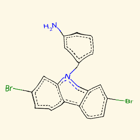 Nc1cccc(-n2c3cc(Br)ccc3c3ccc(Br)cc32)c1